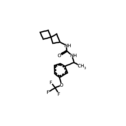 CC(NC(=O)NC1CC2(CCC2)C1)c1cccc(OC(F)(F)F)c1